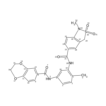 Cc1ccc(NC(=O)c2ccc3c(c2)OCCO3)cc1NC(=O)c1ccc2c(c1)CS(=O)(=O)N2C